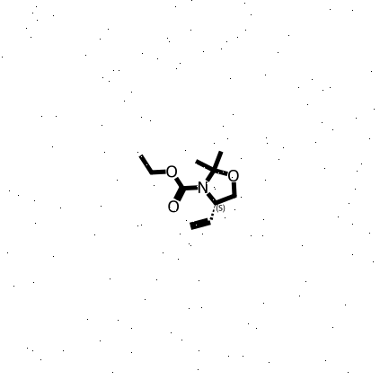 C=C[C@H]1COC(C)(C)N1C(=O)OCC